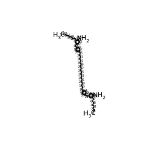 CCCCCCCCc1cc(Cc2ccc(CCCCCCCCCCCCCCCCCCCCc3ccc(Cc4ccc(N)c(CCCCCCCC)c4)cc3)cc2)ccc1N